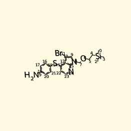 C[Si](C)(C)CCOCn1cc(Br)c2c(Sc3ccc(N)cc3)ccnc21